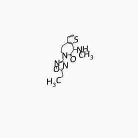 CCc1nc(N2CCc3ccsc3C(NC)C2=O)no1